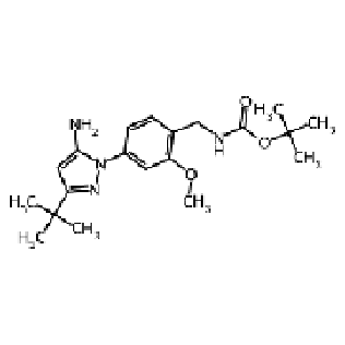 COc1cc(-n2nc(C(C)(C)C)cc2N)ccc1CNC(=O)OC(C)(C)C